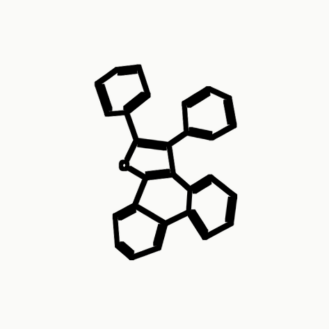 c1ccc(-c2oc3c4ccccc4c4ccccc4c3c2-c2ccccc2)cc1